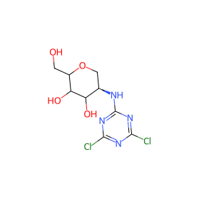 OCC1OC[C@@H](Nc2nc(Cl)nc(Cl)n2)C(O)C1O